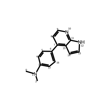 CN(C)c1ccc(-c2ccnc3[nH]ccc23)cc1